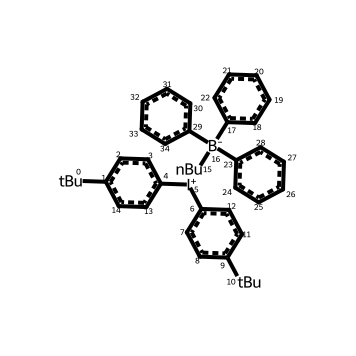 CC(C)(C)c1ccc([I+]c2ccc(C(C)(C)C)cc2)cc1.CCCC[B-](c1ccccc1)(c1ccccc1)c1ccccc1